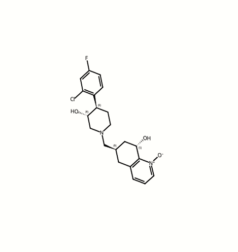 [O-][n+]1cccc2c1[C@@H](O)C[C@H](CN1CC[C@H](c3ccc(F)cc3Cl)[C@@H](O)C1)C2